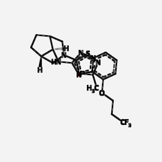 Cc1nsc(N2CC3CC[C@@H](C2)[C@@H]3Nc2nc3c(OCCC(F)(F)F)cccn3n2)n1